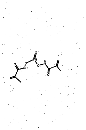 C=C(C)C(=O)NO[PH](=O)ONC(=O)C(=C)C